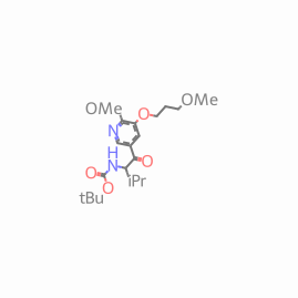 COCCCOc1cc(C(=O)C(NC(=O)OC(C)(C)C)C(C)C)cnc1OC